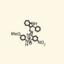 COc1ccc(NS(=O)(=O)c2cc([N+](=O)[O-])ccc2NN=Cc2c(-c3ccccc3)[nH]c3ccccc23)cc1